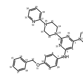 CN(C)c1cc(Nc2ccc(OCc3ccccc3)cc2)nc(N2CCN(c3ccccn3)CC2)n1